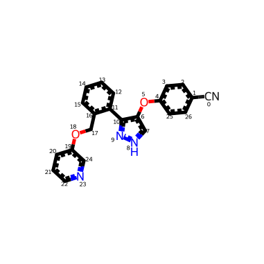 N#Cc1ccc(Oc2c[nH]nc2-c2ccccc2COc2cccnc2)cc1